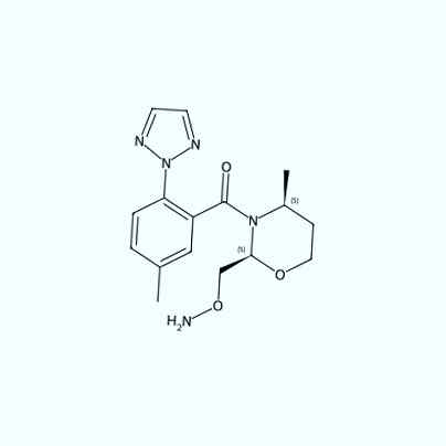 Cc1ccc(-n2nccn2)c(C(=O)N2[C@H](CON)OCC[C@@H]2C)c1